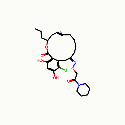 CCCC1C/C=C/CCCCC(=NOCC(=O)N2CCCCC2)Cc2c(Cl)c(O)cc(O)c2C(=O)O1